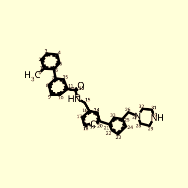 Cc1ccccc1-c1cccc(C(=O)NCc2cccc(-c3cccc(CN4CCNCC4)c3)c2)c1